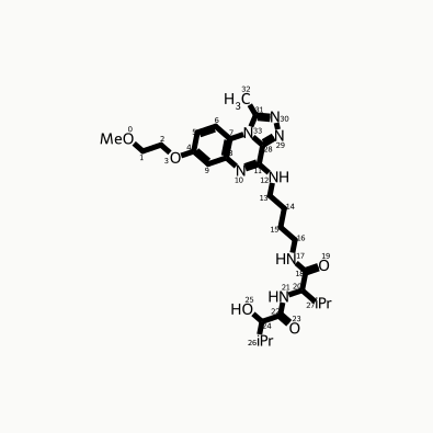 COCCOc1ccc2c(c1)nc(NCCCCNC(=O)C(NC(=O)C(O)C(C)C)C(C)C)c1nnc(C)n12